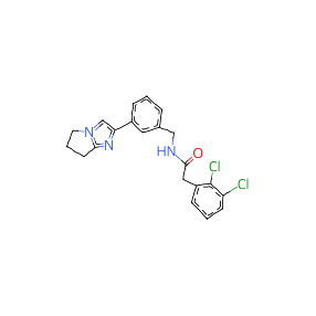 O=C(Cc1cccc(Cl)c1Cl)NCc1cccc(-c2cn3c(n2)CCC3)c1